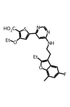 CCOc1cc(-c2cc(NCCc3c(CC)oc4c(C)cc(F)cc34)ncn2)sc1C(=O)O